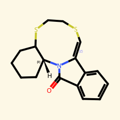 O=C1c2ccccc2/C2=C/SCCSC3CCCC[C@H]3N12